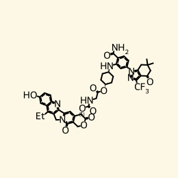 CCc1c2c(nc3ccc(O)cc13)-c1cc3c(c(=O)n1C2)COC(=O)[C@H]3OC(=O)NCC(=O)O[C@H]1CC[C@H](Nc2cc(-n3nc(C(F)(F)F)c4c3CC(C)(C)CC4=O)ccc2C(N)=O)CC1